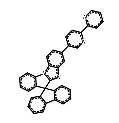 c1ccc(-c2ccc(-c3ccc4c(c3)nc3n4-c4ccccc4C34c3ccccc3-c3ccccc34)cn2)nc1